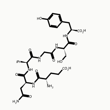 CC(C)[C@H](NC(=O)[C@H](CC(N)=O)NC(=O)[C@@H](N)CCC(=O)O)C(=O)NCC(=O)N[C@@H](CO)C(=O)N[C@@H](Cc1ccc(O)cc1)C(=O)O